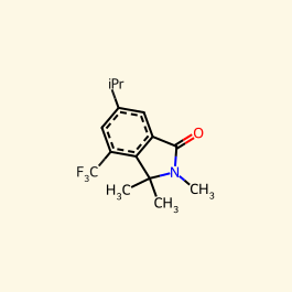 CC(C)c1cc2c(c(C(F)(F)F)c1)C(C)(C)N(C)C2=O